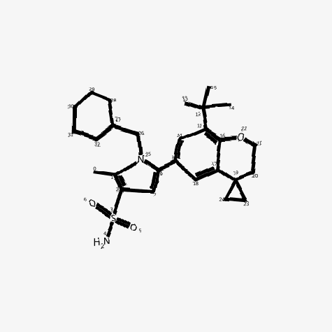 Cc1c(S(N)(=O)=O)cc(-c2cc(C(C)(C)C)c3c(c2)C2(CCO3)CC2)n1CC1CCCCC1